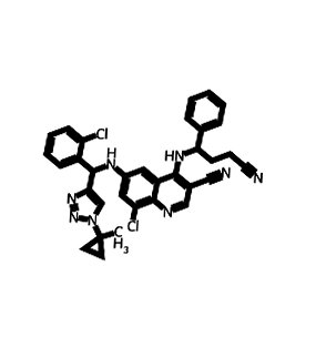 CC1(n2cc(C(Nc3cc(Cl)c4ncc(C#N)c(NC(CCC#N)c5ccccc5)c4c3)c3ccccc3Cl)nn2)CC1